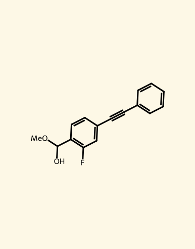 COC(O)c1ccc(C#Cc2ccccc2)cc1F